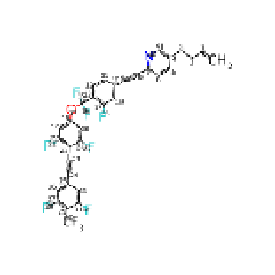 C=CCCc1ccc(C#Cc2ccc(C(F)(F)Oc3cc(F)c(C#Cc4cc(F)c(C(F)(F)F)c(F)c4)c(F)c3)c(F)c2)nc1